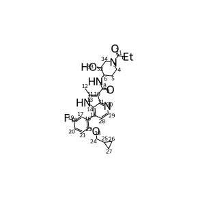 CCC(=O)N1CC[C@@H](NC(=O)c2c(C)[nH]c3c(-c4cc(F)ccc4OCC4CC4)ccnc23)[C@@H](O)C1